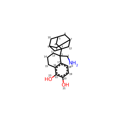 NCC1(C23CC4CC(CC(C4)C2)C3)CCCc2c1ccc(O)c2O